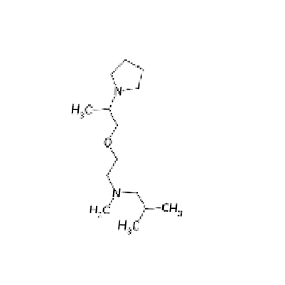 CC(C)CN(C)CCOCC(C)N1CCCC1